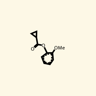 COc1ccccc1OC(=O)C1CC1